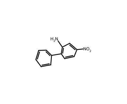 Nc1cc([N+](=O)[O-])ccc1-c1ccccc1